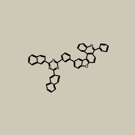 c1ccc(-c2nc3ccccc3c3c2ccc2oc4ccc(-c5cccc(-c6nc(-c7ccc8ccccc8c7)nc(-c7ccc8ccccc8c7)n6)c5)cc4c23)cc1